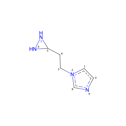 c1cn(CCC2NN2)cn1